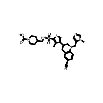 Cc1c(C2Cc3cc(C#N)ccc3N(Cc3cncn3C)C2)csc1S(=O)(=O)NCC1CCN(C(=O)O)CC1